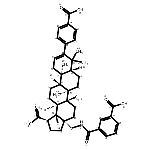 C=C(C)[C@@H]1CC[C@]2(CNC(=O)c3cccc(C(=O)O)c3)CC[C@]3(C)[C@H](CC[C@@H]4[C@@]5(C)CC=C(c6ccc(C(=O)O)cc6)C(C)(C)[C@@H]5CC[C@]43C)[C@@H]12